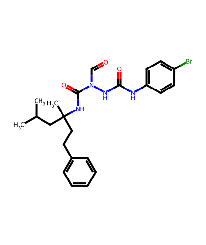 CC(C)CC(C)(CCc1ccccc1)NC(=O)N(C=O)NC(=O)Nc1ccc(Br)cc1